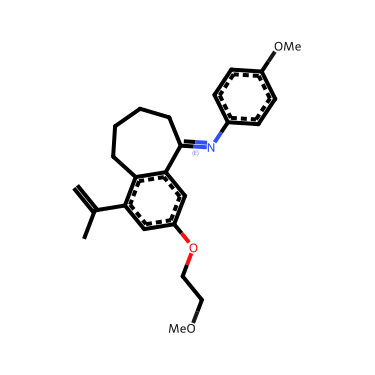 C=C(C)c1cc(OCCOC)cc2c1CCCC/C2=N\c1ccc(OC)cc1